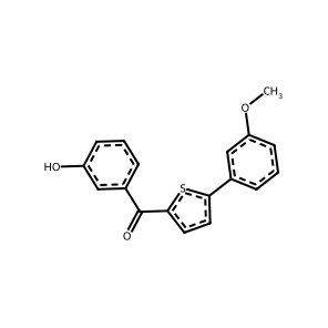 COc1cccc(-c2ccc(C(=O)c3cccc(O)c3)s2)c1